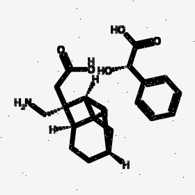 NC[C@@]1(CC(=O)O)[C@@H]2CC[C@H]3C[C@@H]2[C@@H]1C3.O=C(O)[C@@H](O)c1ccccc1